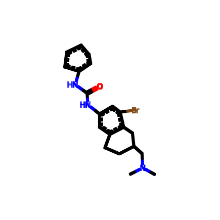 CN(C)CC1CCc2cc(NC(=O)Nc3ccccc3)cc(Br)c2C1